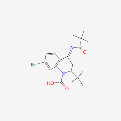 CC(C)(C)C1CC(=N[S+]([O-])C(C)(C)C)c2ccc(Br)cc2N1C(=O)O